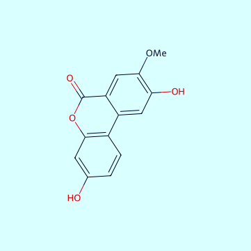 COc1cc2c(=O)oc3cc(O)ccc3c2cc1O